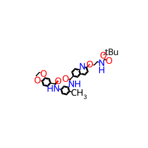 Cc1ccc(NC(=O)c2ccc3c(c2)OCCO3)cc1NC(=O)c1ccc2nc(OCCNC(=O)OC(C)(C)C)ccc2c1